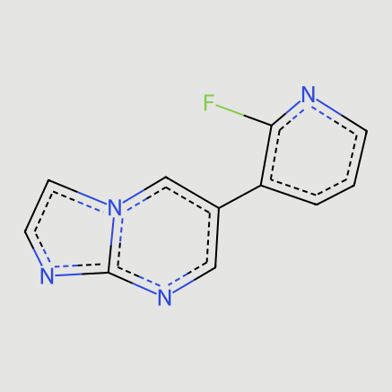 Fc1ncccc1-c1cnc2nccn2c1